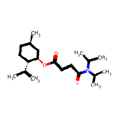 CC(C)[C@@H]1CC[C@@H](C)C[C@H]1OC(=O)CCC(=O)N(C(C)C)C(C)C